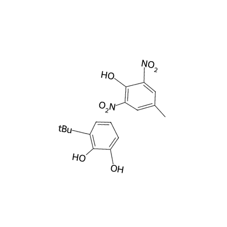 CC(C)(C)c1cccc(O)c1O.Cc1cc([N+](=O)[O-])c(O)c([N+](=O)[O-])c1